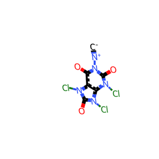 [C-]#[N+]n1c(=O)c2c(n(Cl)c1=O)n(Cl)c(=O)n2Cl